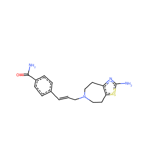 NC(=O)c1ccc(C=CCN2CCc3nc(N)sc3CC2)cc1